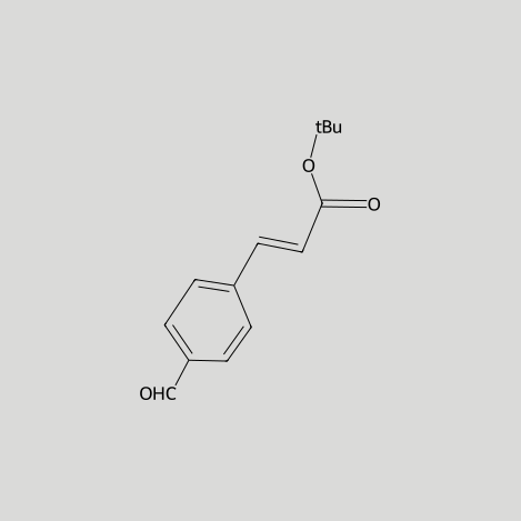 CC(C)(C)OC(=O)C=Cc1ccc(C=O)cc1